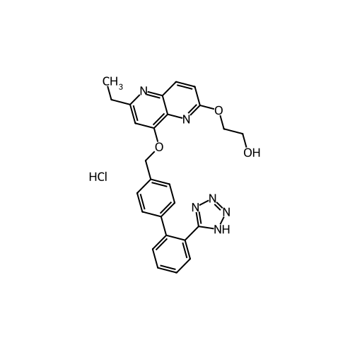 CCc1cc(OCc2ccc(-c3ccccc3-c3nnn[nH]3)cc2)c2nc(OCCO)ccc2n1.Cl